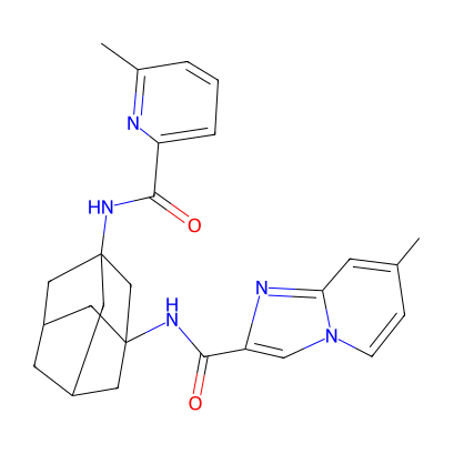 Cc1ccn2cc(C(=O)NC34CC5CC(CC(NC(=O)c6cccc(C)n6)(C5)C3)C4)nc2c1